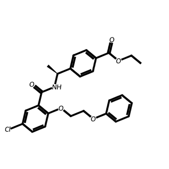 CCOC(=O)c1ccc([C@H](C)NC(=O)c2cc(Cl)ccc2OCCOc2ccccc2)cc1